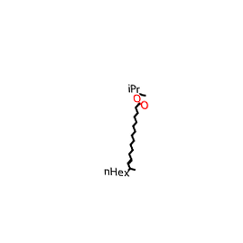 CCCCCCC(C)/C=C/CCCCCCCCCCCC(=O)OC(C)C(C)C